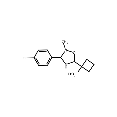 CCOC(=O)C1(C2NC(c3ccc(Cl)cc3)N(C)O2)CCC1